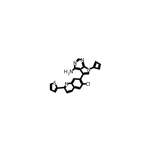 Nc1ncnc2c1c(-c1cc3nc(-c4cccs4)ccc3cc1Cl)cn2C1=CC=C1